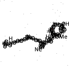 C=C1CC2CC[C@]34C[C@@H](O)C(O3)C3CC(O4)[C@H]4OC(CCC4O3)CC(=O)CC3[C@@H](OC)C(CC(O)CNC(=O)OCc4ccc(N(CCOCCOCCOCCn5cc(COCCOCCOCCOCCNC(=O)CCN6C(=O)C=CC6=O)nn5)S(=O)(=O)c5ccc(C#N)cn5)cc4)O[C@H]3CC3O[C@@H](CCC1O2)C[C@@H](C)C3=C